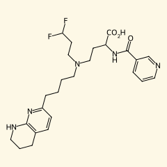 O=C(NC(CCN(CCCCc1ccc2c(n1)NCCC2)CCC(F)F)C(=O)O)c1cccnc1